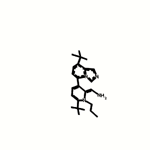 CCCN1C(C(C)(C)C)=CC=C(c2ccc(C(C)(C)C)c3cncn23)/C1=C/N